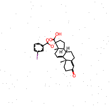 C[C@]12CCC(=O)C=C1CC[C@@H]1C2=CC[C@@]2(C)[C@H]1CC[C@]2(OC(=O)c1cccc(I)c1)C(=O)O